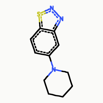 c1cc2snnc2cc1N1CCCCC1